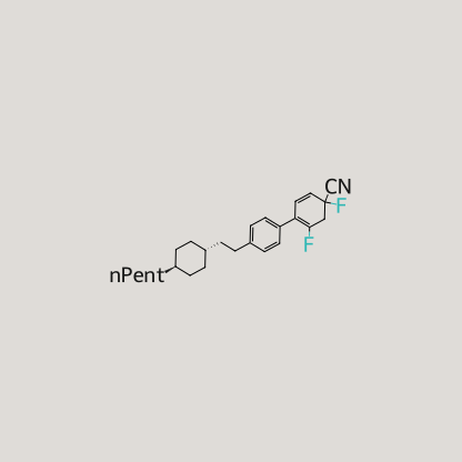 CCCCC[C@H]1CC[C@H](CCc2ccc(C3=C(F)CC(F)(C#N)C=C3)cc2)CC1